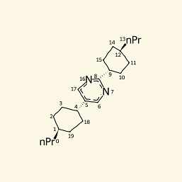 CCC[C@H]1CC[C@H](c2cnc([C@H]3CC[C@H](CCC)CC3)nc2)CC1